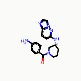 Nc1ccc(C(=O)N2CCC[C@@H](Nc3ccc4nccn4n3)C2)cc1